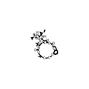 C=C[C@H]1C[C@@]1(NC(=O)C1C[C@@H]2CN1C(=O)[C@H](C(C)(C)C)NC(=O)OCC(C)(C)CCCCCOc1cccc3c1CN(C3)C(=O)O2)C(=O)NS(=O)(=O)C1CC1